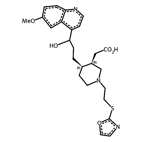 COc1ccc2nccc(C(O)CC[C@@H]3CCN(CCSc4ncco4)C[C@@H]3CC(=O)O)c2c1